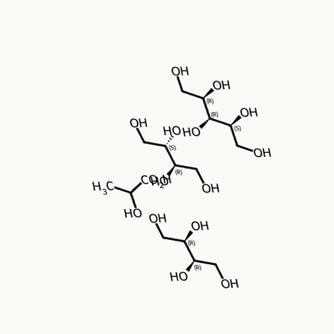 CC(O)C(=O)O.OC[C@@H](O)[C@@H](O)CO.OC[C@@H](O)[C@H](O)CO.OC[C@@H](O)[C@H](O)[C@@H](O)CO